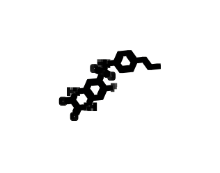 CCCc1ccc(NS(=O)(=O)c2cc3[nH]c(=O)c(=O)[nH]c3cc2F)cc1